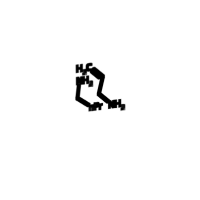 C=CCN.CCCCN